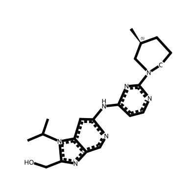 CC(C)n1c(CO)nc2cnc(Nc3ccnc(N4CCC[C@H](C)C4)n3)cc21